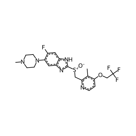 Cc1c(OCC(F)(F)F)ccnc1C[S+]([O-])c1nc2cc(N3CCN(C)CC3)c(F)cc2[nH]1